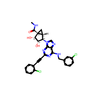 CNC(=O)[C@@]12C[C@@H]1[C@@H](n1cnc3c(NCc4cccc(Cl)c4)nc(C#Cc4ccccc4Cl)nc31)[C@H](O)[C@@H]2O